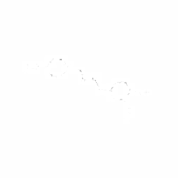 COc1cc(/C=N/N=C/c2ccc(O)cc2)ccc1O